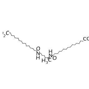 C[C@H](CCCCNC(=O)CCCCCCCCCCCCCCC(=O)O)NC(=O)CCCCCCCCCCCCCCC(=O)O